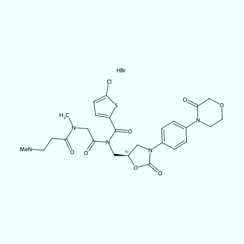 Br.CNCCC(=O)N(C)CC(=O)N(C[C@H]1CN(c2ccc(N3CCOCC3=O)cc2)C(=O)O1)C(=O)c1ccc(Cl)s1